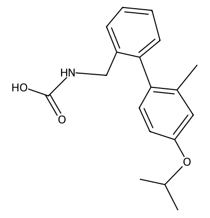 Cc1cc(OC(C)C)ccc1-c1ccccc1CNC(=O)O